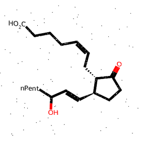 CCCCCC(O)C=C[C@@H]1CCC(=O)[C@H]1C/C=C\CCCC(=O)O